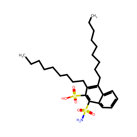 CCCCCCCCCc1c(S(=O)(=O)O)c(S(N)(=O)=O)c2ccccc2c1CCCCCCCCC